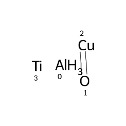 [AlH3].[O]=[Cu].[Ti]